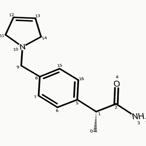 C[C@@H](C(N)=O)c1ccc(CN2CC=CC2)cc1